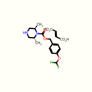 C[C@@H]1CNC[C@@H](C)N1C(=O)OCc1ccc(OC(F)F)cc1.O=C(O)/C=C/C(=O)O